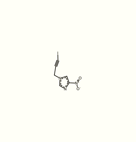 O=[N+]([O-])c1cn(CC#CI)cn1